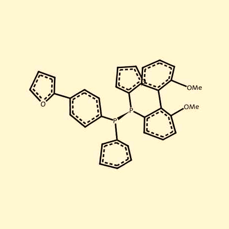 COc1ccc[c]c1-c1c(OC)cccc1[P@](c1ccco1)P(c1ccccc1)c1ccc(-c2ccco2)cc1